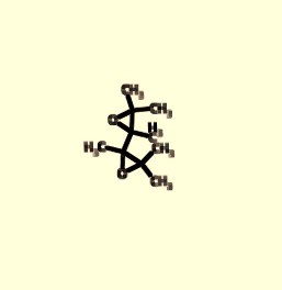 CC1(C)OC1(C)C1(C)OC1(C)C